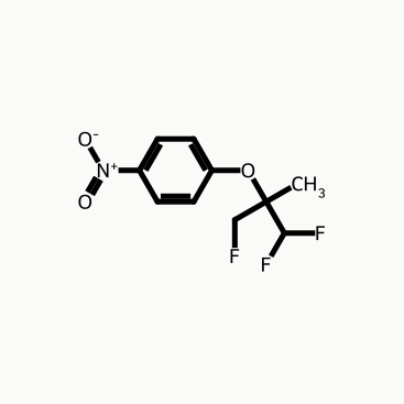 CC(CF)(Oc1ccc([N+](=O)[O-])cc1)C(F)F